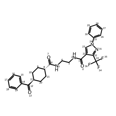 O=C(NCCNC(=O)[C@H]1CC[C@H](C(=O)c2ccccc2)CC1)c1cn(-c2ccccc2)nc1C(F)(F)F